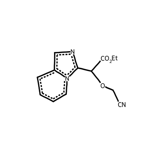 CCOC(=O)C(OCC#N)c1ncc2ccccn12